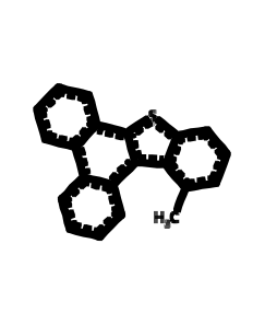 Cc1cccc2sc3c4ccccc4c4ccccc4c3c12